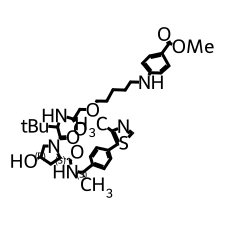 COC(=O)c1ccc(NCCCCCOCC(=O)NC(C(=O)N2C[C@H](O)C[C@H]2C(=O)N[C@@H](C)c2ccc(-c3scnc3C)cc2)C(C)(C)C)cc1